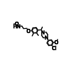 CONCCCOc1ccc(C(C)N2CCN(c3ccc(Cl)c(OC)c3)CC2)c(C)c1C